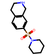 O=S(=O)(c1ccc2c(c1)CNCC2)N1CCCCC1